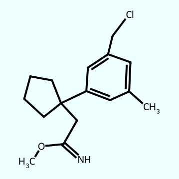 COC(=N)CC1(c2cc(C)cc(CCl)c2)CCCC1